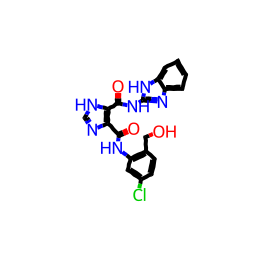 O=C(Nc1cc(Cl)ccc1CO)c1nc[nH]c1C(=O)Nc1nc2ccccc2[nH]1